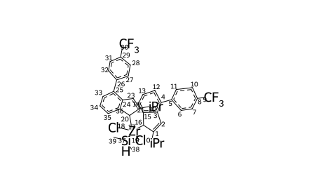 CC(C)C1=Cc2c(-c3ccc(C(F)(F)F)cc3)cccc2[CH]1[Zr]([Cl])([Cl])([CH]1C(C(C)C)=Cc2c(-c3ccc(C(F)(F)F)cc3)cccc21)[SiH](C)C